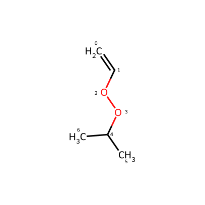 C=COOC(C)C